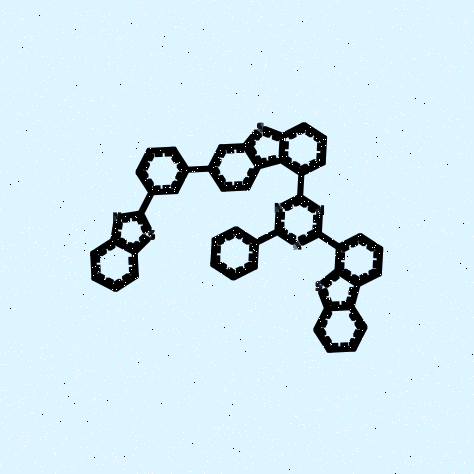 c1ccc(-c2nc(-c3cccc4c3sc3ccccc34)nc(-c3cccc4sc5cc(-c6cccc(-c7nc8ccccc8s7)c6)ccc5c34)n2)cc1